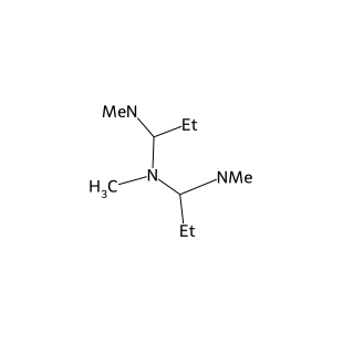 CCC(NC)N(C)C(CC)NC